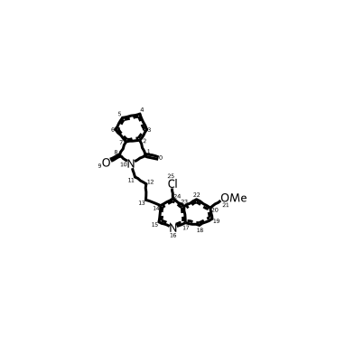 C=C1c2ccccc2C(=O)N1CCCc1cnc2ccc(OC)cc2c1Cl